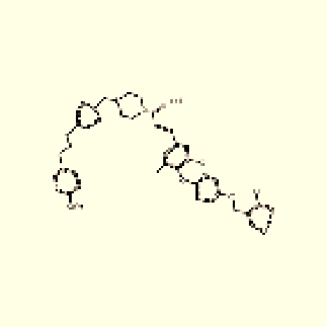 COc1ccc(CCOc2ccc(CN3CCN(C(=O)C=Cc4cc(C)c(Oc5ccc(OCc6ccccc6Cl)cn5)c(Cl)c4)CC3)cc2)cc1.Cl